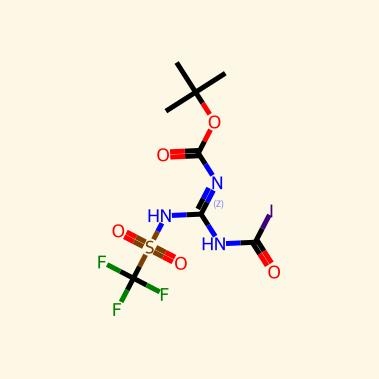 CC(C)(C)OC(=O)/N=C(/NC(=O)I)NS(=O)(=O)C(F)(F)F